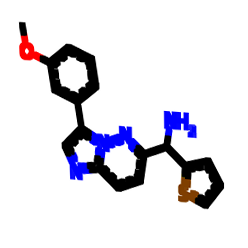 COc1cccc(-c2cnc3ccc(C(N)c4cccs4)nn23)c1